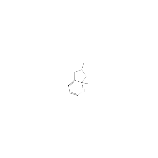 CC1CC2=CC=CNC2(C)C1